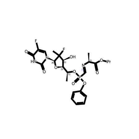 CC(C)OC(=O)[C@H](C)/N=C/P(=O)(Oc1ccccc1)O[C@@H](C)[C@H]1O[C@@H](n2cc(F)c(=O)[nH]c2=O)C(C)(F)[C@H]1O